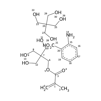 C=C(C)C(=O)OCC(CO)(CO)CO.Nc1ccccc1C(=O)O.OCC(CO)(CO)CO